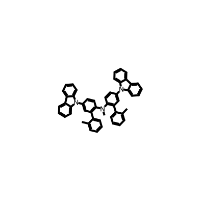 Cc1ccccc1-c1cc(-n2c3ccccc3c3ccccc32)ccc1N(C)c1ccc(-n2c3ccccc3c3ccccc32)cc1-c1ccccc1C